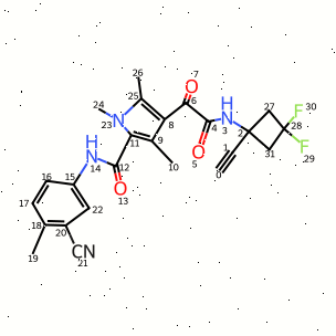 C#CC1(NC(=O)C(=O)c2c(C)c(C(=O)Nc3ccc(C)c(C#N)c3)n(C)c2C)CC(F)(F)C1